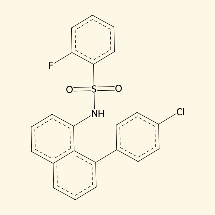 O=S(=O)(Nc1cccc2cccc(-c3ccc(Cl)cc3)c12)c1ccccc1F